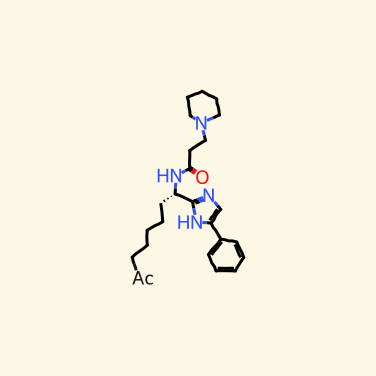 CC(=O)CCCCC[C@H](NC(=O)CCN1CCCCC1)c1ncc(-c2ccccc2)[nH]1